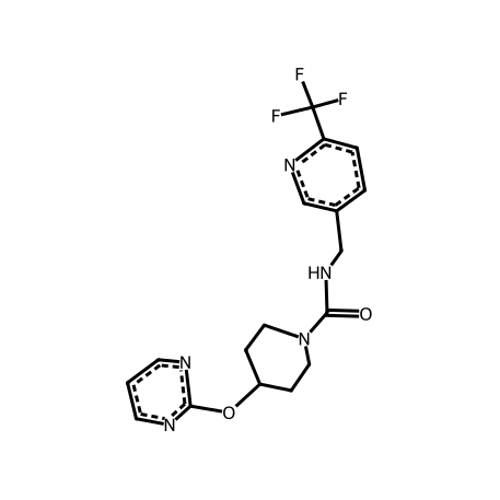 O=C(NCc1ccc(C(F)(F)F)nc1)N1CCC(Oc2ncccn2)CC1